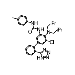 Cc1ccc(NC(=O)Nc2cc(-c3ccccc3-c3nnn[nH]3)cc(Cl)c2N(CC(C)C)CC(C)C)cc1